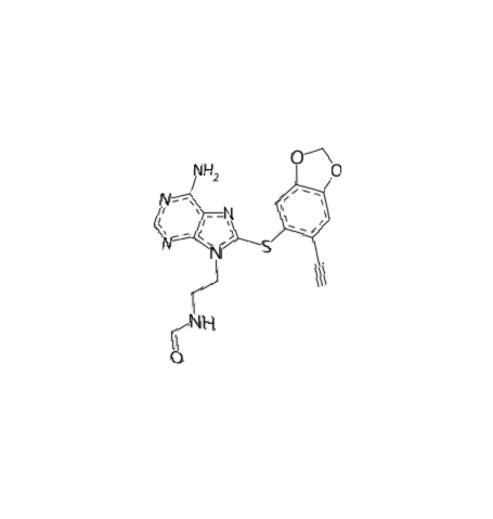 C#Cc1cc2c(cc1Sc1nc3c(N)ncnc3n1CCNC=O)OCO2